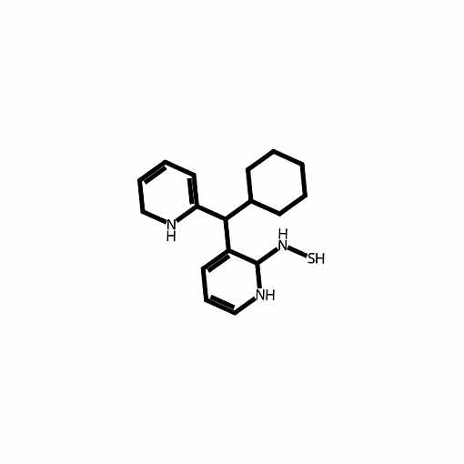 SNC1NC=CC=C1C(C1=CC=CCN1)C1CCCCC1